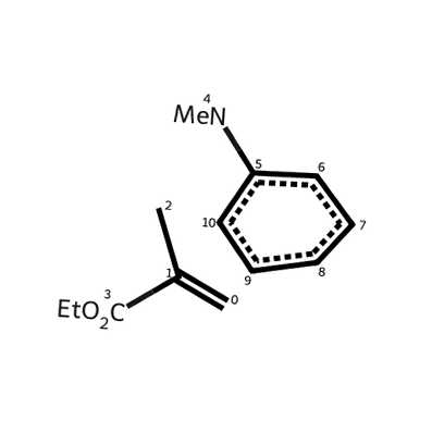 C=C(C)C(=O)OCC.CNc1ccccc1